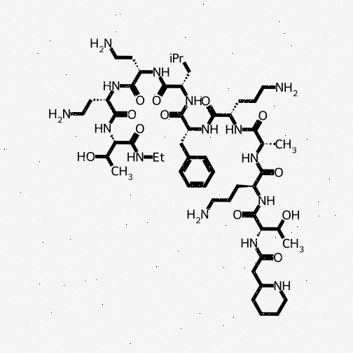 CCNC(=O)[C@@H](NC(=O)[C@H](CCN)NC(=O)[C@H](CCN)NC(=O)[C@H](CC(C)C)NC(=O)[C@@H](Cc1ccccc1)NC(=O)[C@H](CCCN)NC(=O)[C@H](C)NC(=O)[C@H](CCCN)NC(=O)[C@@H](NC(=O)CC1CCCCN1)C(C)O)C(C)O